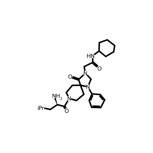 CC(C)C[C@@H](N)C(=O)N1CCC2(CC1)C(=O)N(CC(=O)NC1CCCCC1)CN2c1ccccc1